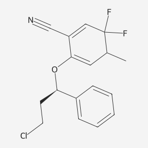 CC1C=C(O[C@H](CCCl)c2ccccc2)C(C#N)=CC1(F)F